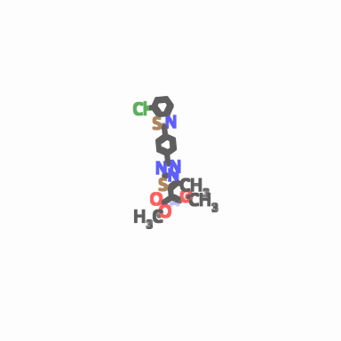 CO/C=C(/C(=O)OC)c1sc2nc(-c3ccc(-c4nc5cccc(Cl)c5s4)cc3)nn2c1C